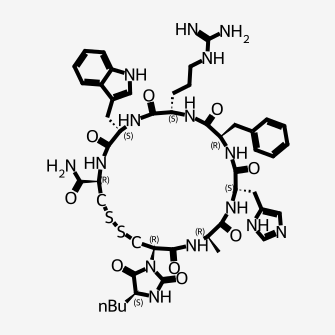 CCCC[C@@H]1NC(=O)N([C@H]2CSSC[C@@H](C(N)=O)NC(=O)[C@H](Cc3c[nH]c4ccccc34)NC(=O)[C@H](CCCNC(=N)N)NC(=O)[C@@H](Cc3ccccc3)NC(=O)[C@H](Cc3cnc[nH]3)NC(=O)[C@@H](C)NC2=O)C1=O